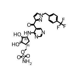 NS(=O)(=O)OC[C@H]1C[C@@H](Nc2ncncc2C(=O)c2ccn(Cc3ccc(C(F)(F)F)cc3)n2)[C@H](O)[C@@H]1O